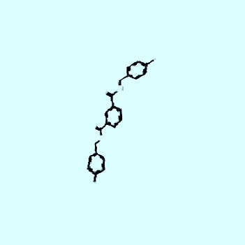 O=C(NCc1ccc(Cl)cc1)c1cccc(C(=O)NCc2ccc(Cl)cc2)c1